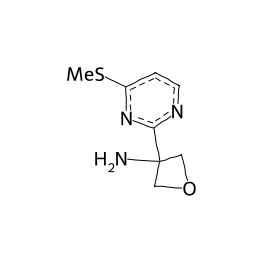 CSc1ccnc(C2(N)COC2)n1